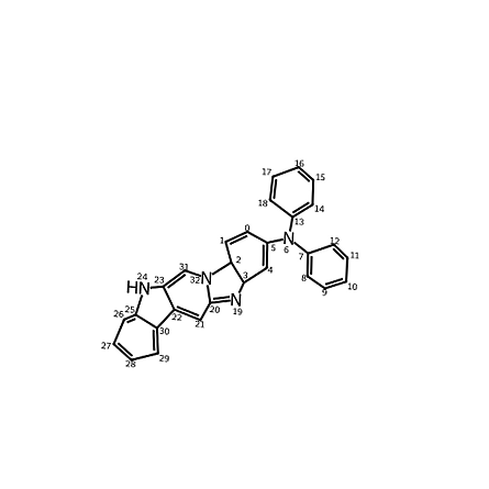 C1=CC2C(C=C1N(c1ccccc1)c1ccccc1)N=C1C=c3c([nH]c4ccccc34)=CN12